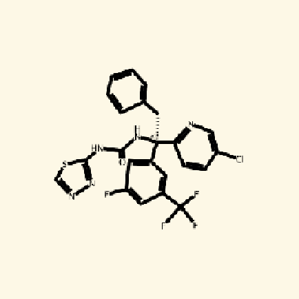 O=C(Nc1nncs1)N[C@](Cc1ccccc1)(c1cc(F)cc(C(F)(F)F)c1)c1ccc(Cl)cn1